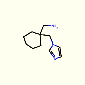 NCC1(Cn2ccnc2)CCCCC1